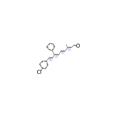 CC(/C=C/C=C(/C=C/c1ccc(Cl)cc1)c1ccccc1)=C\C=O